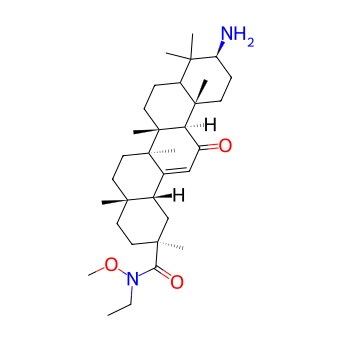 CCN(OC)C(=O)[C@@]1(C)CC[C@]2(C)CC[C@]3(C)C(=CC(=O)[C@@H]4[C@@]5(C)CC[C@H](N)C(C)(C)C5CC[C@]43C)[C@@H]2C1